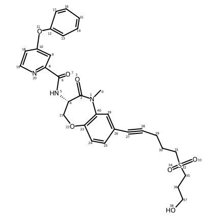 CN1C(=O)[C@@H](NC(=O)c2cc(Oc3ccccc3)ccn2)COc2ccc(C#CCCCS(=O)(=O)CCCO)cc21